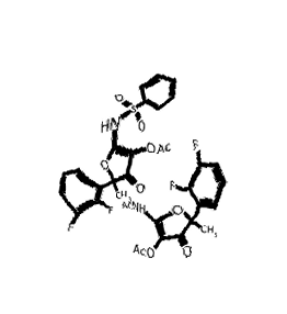 CC(=O)NC1=C(OC(C)=O)C(=O)C(C)(c2cccc(F)c2F)O1.CC(=O)OC1=C(NS(=O)(=O)c2ccccc2)OC(C)(c2cccc(F)c2F)C1=O